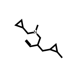 C=CC(CC1CC1C)CN(C)CC1CC1